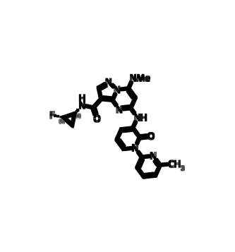 CNc1cc(Nc2cccn(-c3cccc(C)n3)c2=O)nc2c(C(=O)N[C@@H]3C[C@@H]3F)cnn12